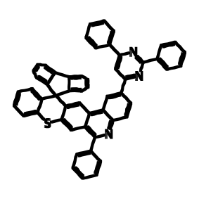 c1ccc(-c2cc(-c3ccc4nc(-c5ccccc5)c5cc6c(cc5c4c3)C3(c4ccccc4S6)c4ccccc4-c4ccccc43)nc(-c3ccccc3)n2)cc1